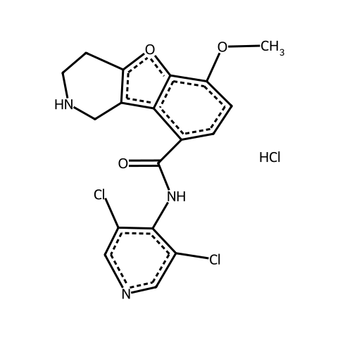 COc1ccc(C(=O)Nc2c(Cl)cncc2Cl)c2c3c(oc12)CCNC3.Cl